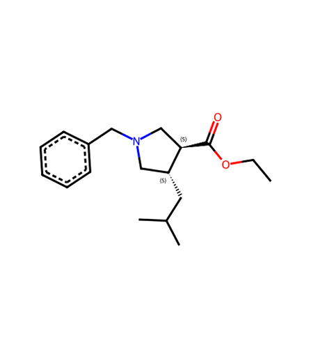 CCOC(=O)[C@@H]1CN(Cc2ccccc2)C[C@H]1CC(C)C